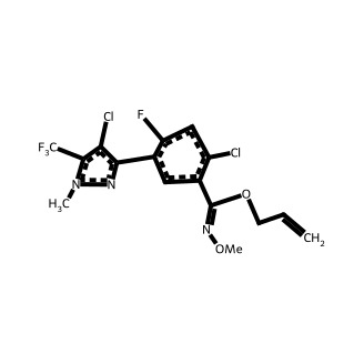 C=CCOC(=NOC)c1cc(-c2nn(C)c(C(F)(F)F)c2Cl)c(F)cc1Cl